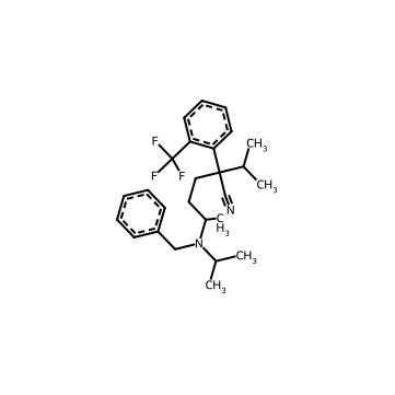 CC(C)N(Cc1ccccc1)C(C)CCC(C#N)(c1ccccc1C(F)(F)F)C(C)C